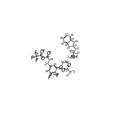 CC(C)C(=O)O[C@@H](CNC(C)(C)CC1Cc2ccccc2C1)COc1cc(CCC(=O)OC(=O)C(F)(F)F)cc(F)c1F